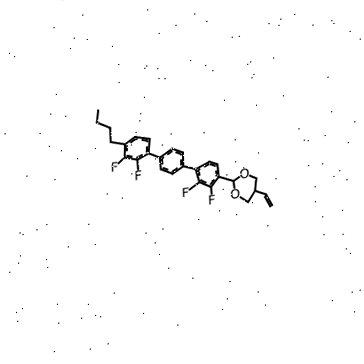 C=CC1COC(c2ccc(-c3ccc(-c4ccc(CCCC)c(F)c4F)cc3)c(F)c2F)OC1